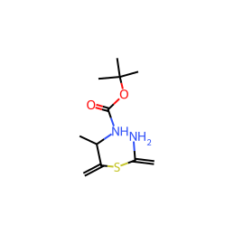 C=C(N)SC(=C)C(C)NC(=O)OC(C)(C)C